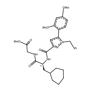 COC(=O)CNC(=O)[C@H](CC1CCCCC1)NC(=O)c1cc(-c2ccc(OC)cc2OC)n(CC(C)C)n1